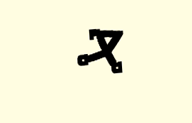 Cl[C]1(Cl)[CH2][Pt]1